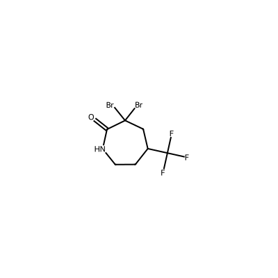 O=C1NCCC(C(F)(F)F)CC1(Br)Br